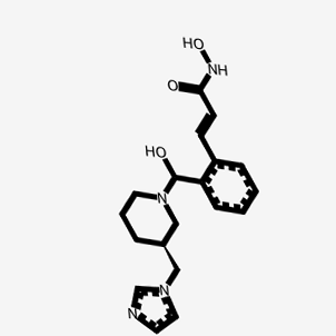 O=C(/C=C/c1ccccc1C(O)N1CCC[C@H](Cn2ccnc2)C1)NO